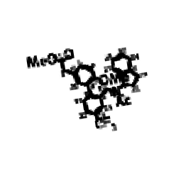 COC(=O)Cc1ccc(OC)c(-c2ccc(C(F)(F)F)cc2CN(C(C)=O)C2CCc3ccccc32)c1